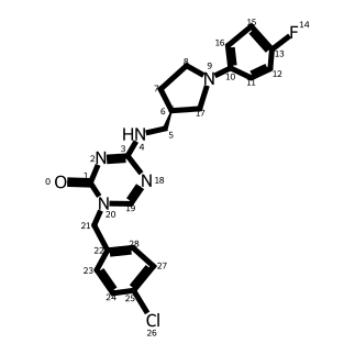 O=c1nc(NC[C@H]2CCN(c3ccc(F)cc3)C2)ncn1Cc1ccc(Cl)cc1